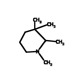 C[C]1N(C)CCCC1(C)C